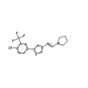 FC(F)(F)c1cc(-c2cc(/N=C/N3CCCC3)cs2)ccc1Cl